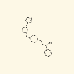 OC(CCC1CCN(CN2CCC(c3ccsc3)C2)CC1)c1ccccc1